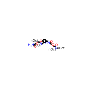 CCCCCCCCC(OCC(N)=O)C(=O)N(CCCCCCCC)Cc1cccc(CNC(=O)COCC(=O)N(CCCCCCCC)CCCCCCCC)c1